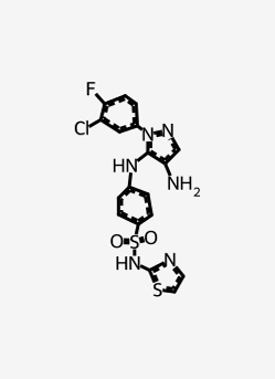 Nc1cnn(-c2ccc(F)c(Cl)c2)c1Nc1ccc(S(=O)(=O)Nc2nccs2)cc1